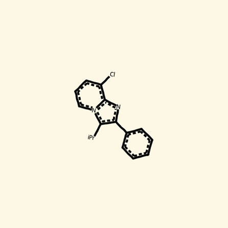 CC(C)c1c(-c2ccccc2)nc2c(Cl)cccn12